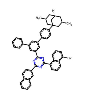 C[C@@H]1C[C@@H]2C[C@H](C)CC(c3ccc(-c4cc(-c5ccccc5)cc(-c5nc(-c6ccc7ccccc7c6)nc(-c6cccc7c(C#N)cccc67)n5)c4)cc3)(C1)C2